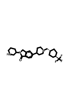 O=C1c2ccc(C3CCN(C[C@H]4CC[C@H](C(F)(F)F)CC4)CC3)cc2CN1C1CCCNC1